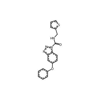 O=C(NCc1cccs1)n1nnc2cc(Oc3ccccc3)ccc21